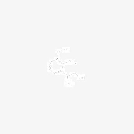 [CH2]C(CO)c1cccc(OC(C)C)c1[N+](=O)[O-]